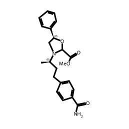 COC(=O)C1O[C@H](c2ccccc2)CN1[C@H](C)CCc1ccc(C(N)=O)cc1